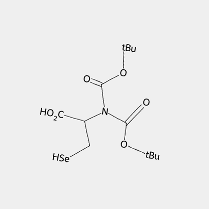 CC(C)(C)OC(=O)N(C(=O)OC(C)(C)C)C(C[SeH])C(=O)O